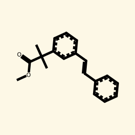 COC(=O)C(C)(C)c1cccc(C=Cc2ccccc2)c1